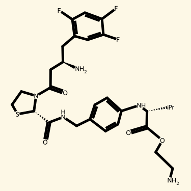 CC(C)[C@@H](Nc1ccc(CNC(=O)[C@@H]2SCCN2C(=O)C[C@H](N)Cc2cc(F)c(F)cc2F)cc1)C(=O)OCCN